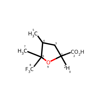 [2H]C1(C(=O)O)CC(C)C(C)(C(F)(F)F)O1